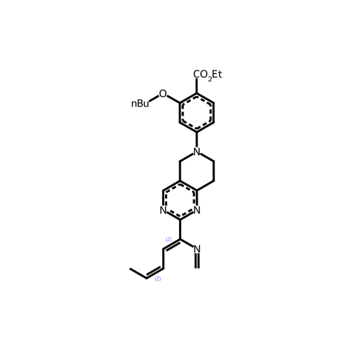 C=N/C(=C\C=C/C)c1ncc2c(n1)CCN(c1ccc(C(=O)OCC)c(OCCCC)c1)C2